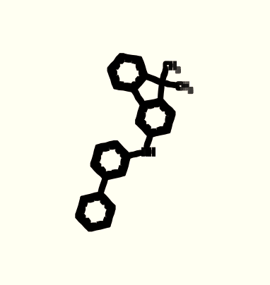 CC1(C)c2ccccc2-c2cc(Nc3cccc(-c4ccccc4)c3)ccc21